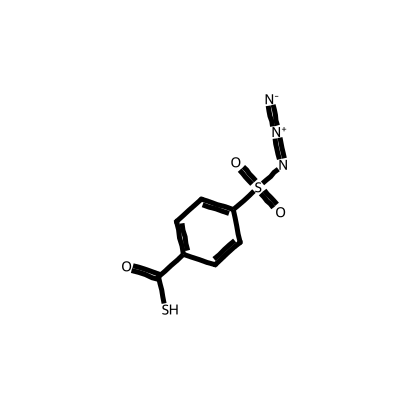 [N-]=[N+]=NS(=O)(=O)c1ccc(C(=O)S)cc1